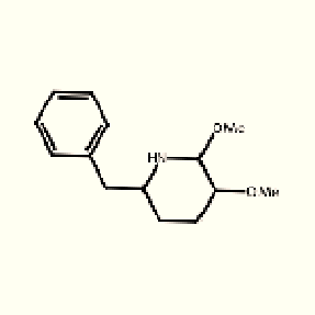 COC1[CH]CC(Cc2ccccc2)NC1OC